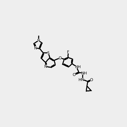 Cn1cnc(-c2cc3nccc(Oc4ccc(NC(=O)NNC(=O)C5CC5)cc4F)c3s2)c1